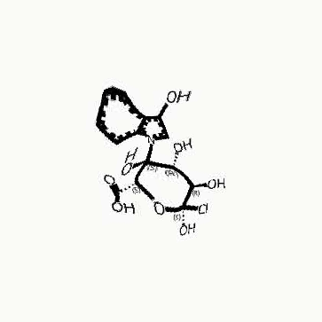 O=C(O)[C@H]1O[C@](O)(Cl)[C@H](O)[C@@H](O)[C@@]1(O)n1cc(O)c2ccccc21